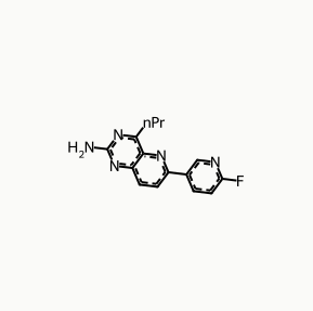 CCCc1nc(N)nc2ccc(-c3ccc(F)nc3)nc12